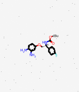 CC(C)(C)OC(=O)N[C@@H](COc1ccc(N)c(N)c1)c1ccc(F)cc1